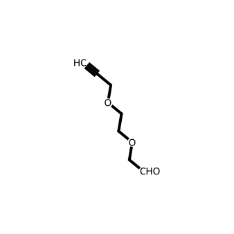 C#CCOCCOCC=O